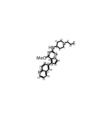 COc1nc(NC2CCN(CCF)CC2)nn2ccc(-c3ccc4ncccc4c3)c12